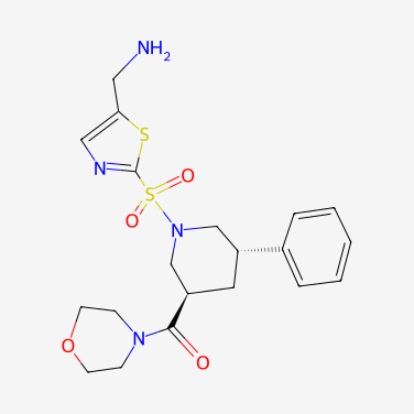 NCc1cnc(S(=O)(=O)N2C[C@H](C(=O)N3CCOCC3)C[C@@H](c3ccccc3)C2)s1